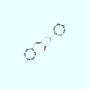 CC(=O)Oc1ccc(/C=C2/NC(c3ccc(Cl)cc3)OC2=O)cc1